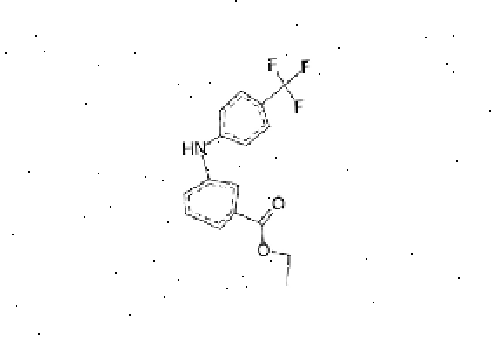 CCOC(=O)c1cccc(Nc2ccc(C(F)(F)F)cc2)c1